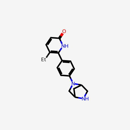 CCc1ccc(=O)[nH]c1-c1ccc(N2CC3CC2CN3)cc1